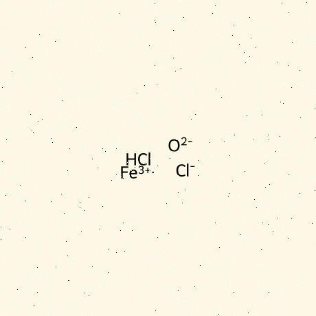 Cl.[Cl-].[Fe+3].[O-2]